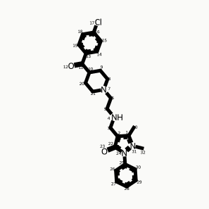 Cc1c(CNCCN2CCC(C(=O)c3ccc(Cl)cc3)CC2)c(=O)n(-c2ccccc2)n1C